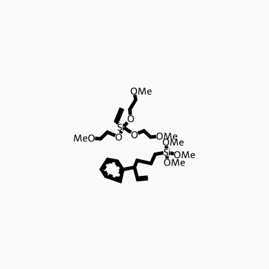 C=CC(CCC[Si](OC)(OC)OC)c1ccccc1.C=C[Si](OCCOC)(OCCOC)OCCOC